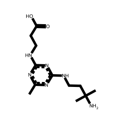 Cc1nc(NCCC(=O)O)nc(NCCC(C)(C)N)n1